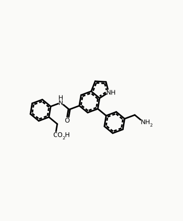 NCc1cccc(-c2cc(C(=O)Nc3ccccc3CC(=O)O)cc3cc[nH]c23)c1